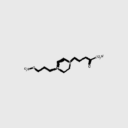 O=C(O)C(=O)CCCN1CCN(CCCO[N+](=O)[O-])CC1